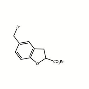 CCOC(=O)C1Cc2cc(CBr)ccc2O1